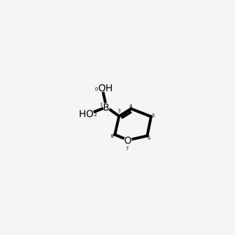 OB(O)C1=CCCOC1